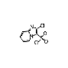 O=S(=O)(Cl)c1c(Cl)nc2ccccn12